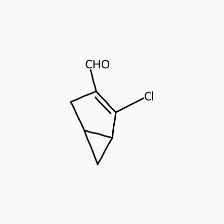 O=CC1=C(Cl)C2CC2C1